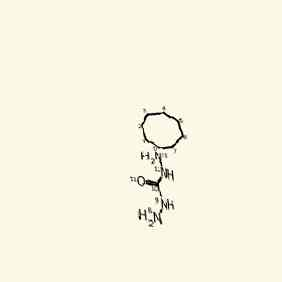 C1CCCCCCC1.NNC(=O)NN